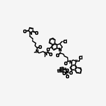 CN(CCN(C)C(=O)Oc1cc2c(c3ccccc13)C(CCl)CN2C(=O)CCCC(=O)N1C[C@@H](CCl)c2c1cc(OP(=O)(OC(C)(C)C)OC(C)(C)C)c1ccccc21)C(=O)CCCCCN1C(=O)C=CC1=O